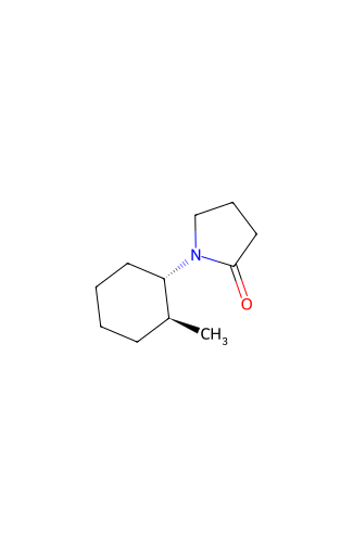 C[C@H]1CCCC[C@@H]1N1CCCC1=O